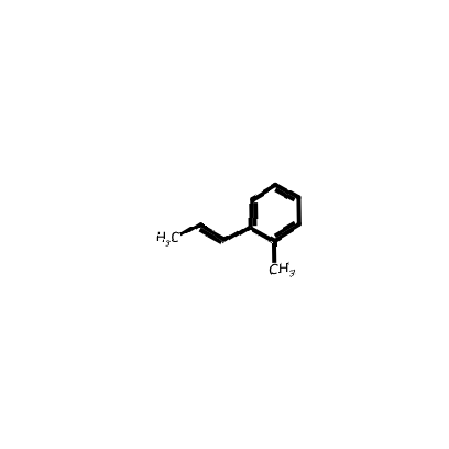 C/C=[C]/c1ccccc1C